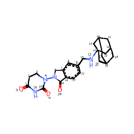 O=C1CCN(N2Cc3cc(CNC45CC6CC(CC(C6)C4)C5)ccc3C2=O)C(=O)N1